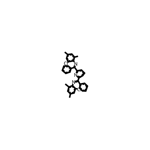 Cc1cc(C)c(/N=C(\c2ccccc2)c2cccc(/C(=N/c3c(C)cc(C)cc3Cl)c3ccccc3)n2)c(Cl)c1